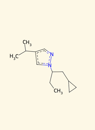 CCC(CC1CC1)n1cc(C(C)C)cn1